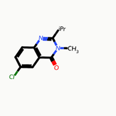 CC(C)c1nc2ccc(Cl)cc2c(=O)n1C